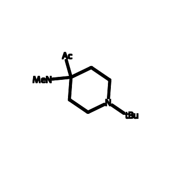 CNC1(C(C)=O)CCN(C(C)(C)C)CC1